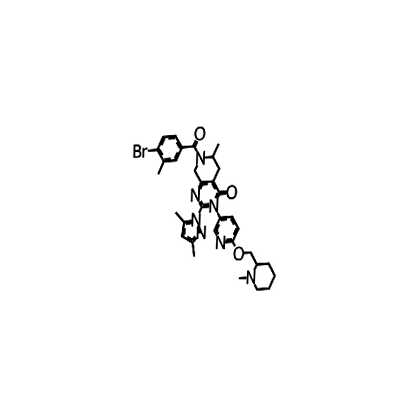 Cc1cc(C)n(-c2nc3c(c(=O)n2-c2ccc(OCC4CCCCN4C)nc2)CC(C)N(C(=O)c2ccc(Br)c(C)c2)C3)n1